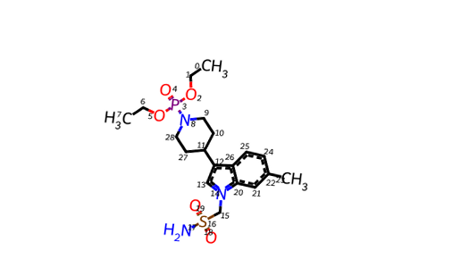 CCOP(=O)(OCC)N1CCC(c2cn(CS(N)(=O)=O)c3cc(C)ccc23)CC1